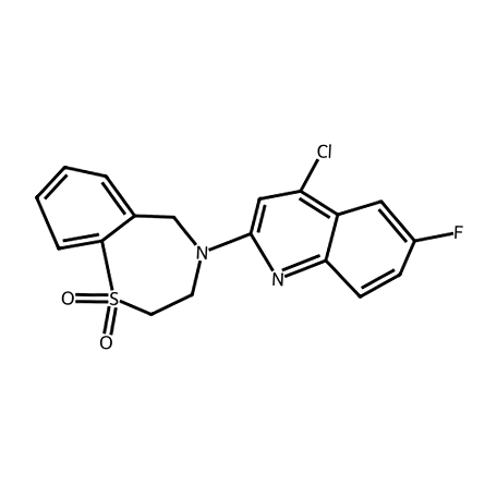 O=S1(=O)CCN(c2cc(Cl)c3cc(F)ccc3n2)Cc2ccccc21